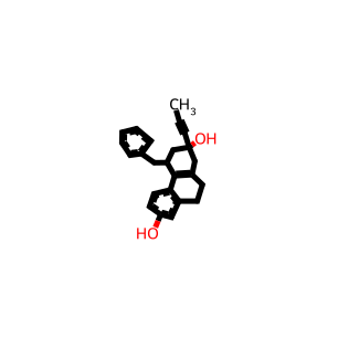 CC#CC1(O)CC2=C(c3ccc(O)cc3CC2)C(Cc2ccccc2)C1